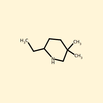 CCC1CCC(C)(C)CN1